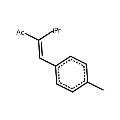 CC(=O)/C(=C/c1ccc(C)cc1)C(C)C